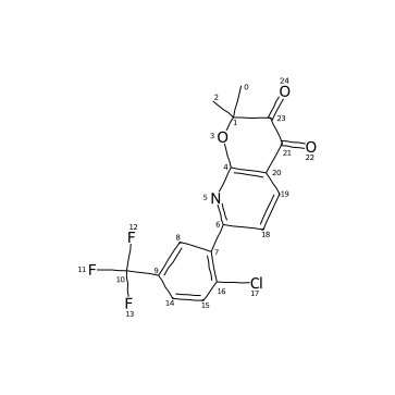 CC1(C)Oc2nc(-c3cc(C(F)(F)F)ccc3Cl)ccc2C(=O)C1=O